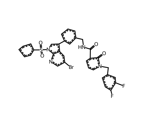 O=C(NCc1cccc(-c2cn(S(=O)(=O)c3ccccc3)c3ncc(Br)cc23)c1)c1cccn(Cc2ccc(F)c(F)c2)c1=O